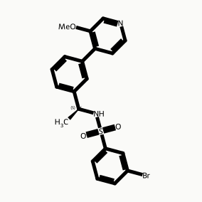 COc1cnccc1-c1cccc([C@H](C)NS(=O)(=O)c2cccc(Br)c2)c1